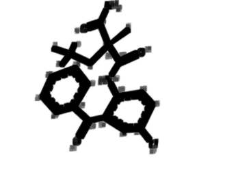 CC(C)(C)C[C@](C)(C(N)=O)C(=O)Nc1ccc(Cl)cc1C(=O)c1ccccc1